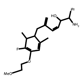 C=C(/C=C\C(O)C(N)C(C)C)CC1C(C)=CC(OCCOC)=C(F)C1C